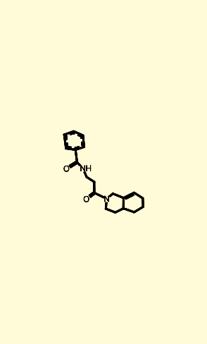 O=C(NCCC(=O)N1CCC2CCCC=C2C1)c1ccccc1